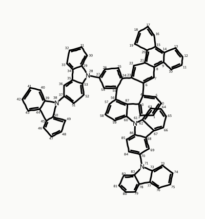 c1ccc2c(c1)-c1cc3c4ccccc4c4ccccc4c3cc1-c1ccc(-n3c4ccccc4c4cc(-n5c6ccccc6c6ccccc65)ccc43)cc1-c1cccc(-n3c4ccccc4c4cc(-n5c6ccccc6c6ccccc65)ccc43)c1-2